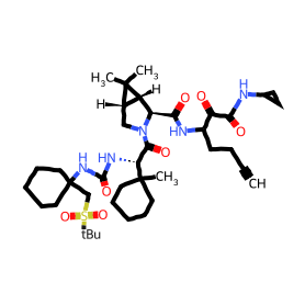 C#CCCC(NC(=O)[C@@H]1[C@@H]2[C@H](CN1C(=O)[C@@H](NC(=O)NC1(CS(=O)(=O)C(C)(C)C)CCCCC1)C1(C)CCCCC1)C2(C)C)C(=O)C(=O)NC1CC1